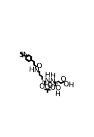 CC(C)(C)OC(=O)[C@H](CCCCNC(=O)CCc1cc[c]([Sn]([CH3])([CH3])[CH3])cc1)NC(=O)N[C@@H](CCC(=O)O)C(=O)O